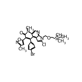 Cc1cc(-c2c(-c3ccc(Br)cc3)c3c4cc(Cl)n(COCC[Si](C)(C)C)c4ncc3n(C)c2=O)on1